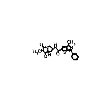 Cc1nn(-c2ccccc2)c2sc(C(=O)N[C@H]3C[C@H]4C(=O)N(C)C(=O)N4C3)cc12